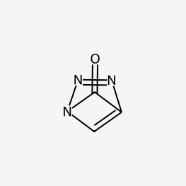 O=C1c2cn1nn2